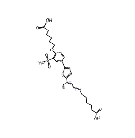 C=C/C(=C\C=N\CCCCCC(=O)O)c1ncc(-c2ccc(OCCCCCC(=O)O)c(S(=O)(=O)O)c2)o1